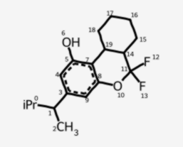 CC(C)C(C)c1cc(O)c2c(c1)OC(F)(F)C1CCCCC21